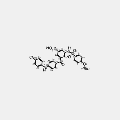 CCCCOc1ccc(S(=O)(=O)Nc2cc(C(=O)O)cc(C(=O)c3ccc(Nc4ccc(Cl)cc4)cc3)c2)cc1